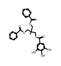 CC(COC(=O)c1ccccc1)(COC(=O)c1ccccc1)COC(=O)c1cc(O)c(O)c(O)c1